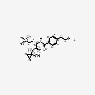 CS(=O)(=O)CC[C@H](NC(=O)c1ccc(CCN)cc1)C(=O)NC1(C#N)CC1